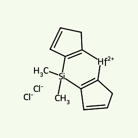 C[Si]1(C)C2=[C](CC=C2)[Hf+2][C]2=C1C=CC2.[Cl-].[Cl-]